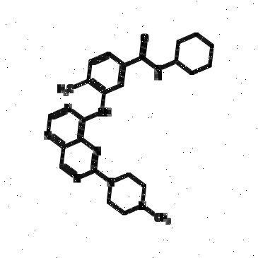 Cc1ccc(C(=O)NC2CCCCC2)cc1Nc1ncnc2cnc(N3CCN(C)CC3)nc12